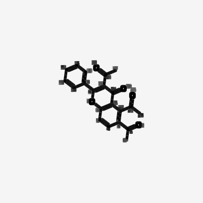 CC(=O)c1ccc2oc(-c3ccccc3)c(C(C)=O)c(=O)c2c1C(C)=O